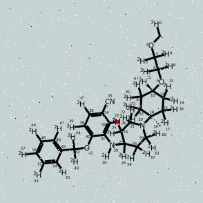 [2H]COC([2H])([2H])C([2H])([2H])O[C@]1([2H])C([2H])([2H])C([2H])([2H])[C@@](C)(N2C([2H])([2H])C([2H])([2H])C([2H])(N([2H])c3c([2H])c(C#N)c([2H])c([2H])c3OC([2H])([2H])c3c([2H])c([2H])c([2H])c([2H])c3[2H])C([2H])([2H])C2([2H])[2H])C([2H])([2H])C1([2H])[2H]